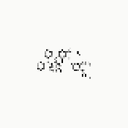 COc1ccc(COc2c(OC)ccc3c2C[C@@H](C(=O)O)N(C(=O)C(c2ccccc2)c2ccccc2)C3)cc1C